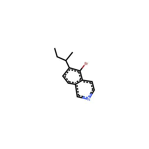 CCC(C)c1ccc2cnccc2c1Br